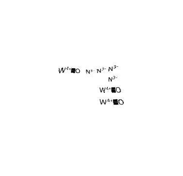 [N-3].[N-3].[N-3].[N-3].[O]=[W+4].[O]=[W+4].[O]=[W+4]